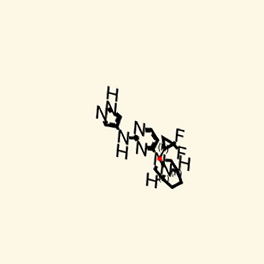 FC1(F)C[C@@H]1CN1[C@@H]2CC[C@H]1CN(c1ccnc(Nc3cn[nH]c3)n1)C2